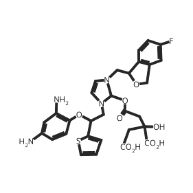 Nc1ccc(OC(CN2C=CN(CC3OCc4cc(F)ccc43)C2OC(=O)CC(O)(CC(=O)O)C(=O)O)c2cccs2)c(N)c1